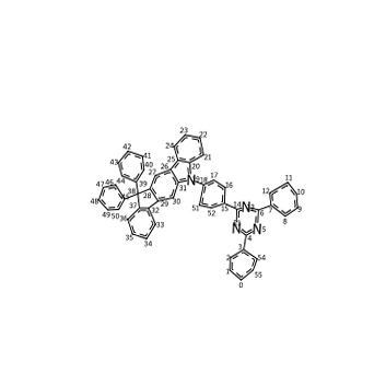 c1ccc(-c2nc(-c3ccccc3)nc(-c3ccc(-n4c5ccccc5c5cc6c(cc54)-c4ccccc4C6(c4ccccc4)c4ccccc4)cc3)n2)cc1